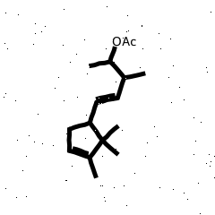 CC(=O)OC(C)C(C)C=CC1CC=C(C)C1(C)C